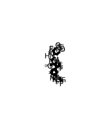 COc1nc(N[C@@H]2CCN(S(C)(=O)=O)CC2(F)F)nn2cc(F)c(-c3ccc4nnn(CC(F)(F)F)c4c3)c12